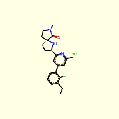 CCc1cccc(-c2cc(C)nc([C@H]3CC[C@@]4(CCN(C)C4=O)N3)c2)c1F.Cl